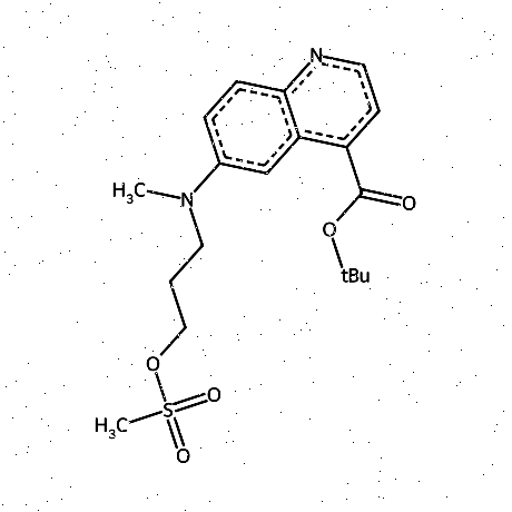 CN(CCCOS(C)(=O)=O)c1ccc2nccc(C(=O)OC(C)(C)C)c2c1